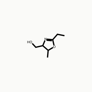 CCC1=NC(CO)C(C)O1